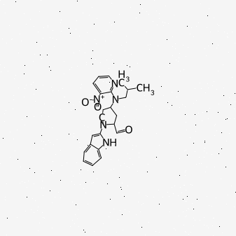 CC(C)CN(c1ncccc1[N+](=O)[O-])C1CCN(c2cc3ccccc3[nH]2)C(C=O)C1